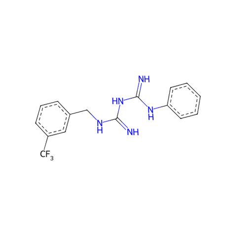 N=C(NCc1cccc(C(F)(F)F)c1)NC(=N)Nc1ccccc1